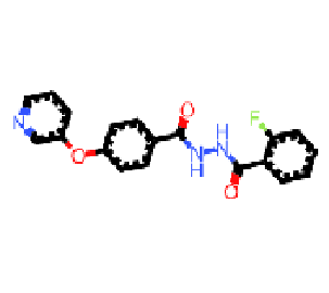 O=C(NNC(=O)c1ccccc1F)c1ccc(Oc2cccnc2)cc1